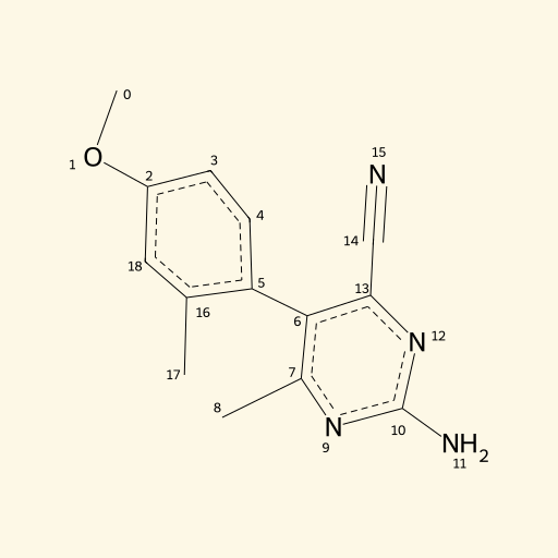 COc1ccc(-c2c(C)nc(N)nc2C#N)c(C)c1